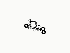 O=C(C[C@@H]1C/C=C/CCC(=O)O[C@H](c2ccccc2)CNC1=O)N[C@H]1CCCc2ccccc21